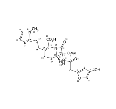 CO[C@@]1(NC(=O)Cc2cc(O)no2)C(=O)N2C(C(=O)O)=C(CSc3nnnn3C)CS[C@H]21